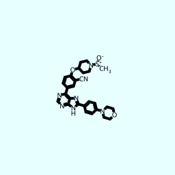 C[S+]([O-])N1CCC(Oc2ccc(-c3ncnc4[nH]c(-c5ccc(N6CCOCC6)cc5)nc34)cc2C#N)CC1